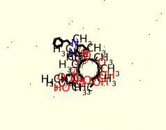 CC[C@H]1OC(=O)[C@H](C)[C@@H](O[C@H]2C[C@@](C)(OC)[C@@H](O)[C@H](C)O2)[C@H](C)[C@@H](O[C@@H]2O[C@H](C)C[C@@H](N(C)CCc3ccccc3)[C@@H]2N(C)C)[C@@](C)(OC)C[C@@H](C)C(=O)[C@H](C)[C@@H](O)[C@]1(C)O